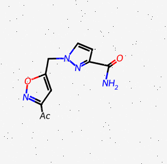 CC(=O)c1cc(Cn2c[c]c(C(N)=O)n2)on1